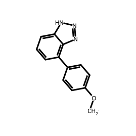 [CH2]Oc1ccc(-c2cccc3[nH]nnc23)cc1